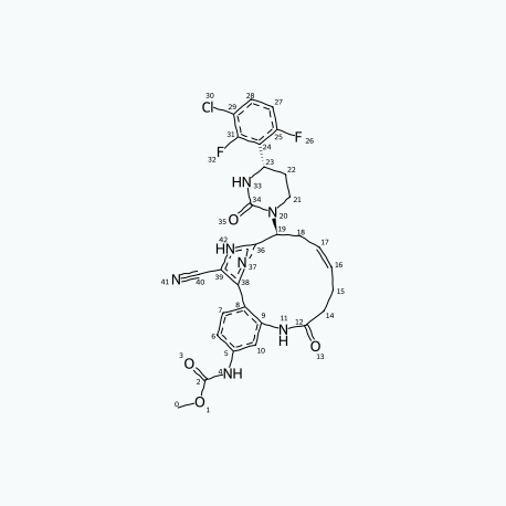 COC(=O)Nc1ccc2c(c1)NC(=O)CCC=CC[C@H](N1CC[C@@H](c3c(F)ccc(Cl)c3F)NC1=O)c1nc-2c(C#N)[nH]1